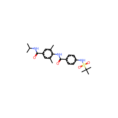 Cc1cc(C(=O)NC(C)C)cc(C)c1NC(=O)c1ccc(NS(=O)(=O)C(C)(C)C)cc1